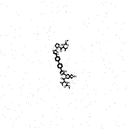 COC(=O)NC(C(=O)N1CC2(CNC2)CC1c1ncc(-c2ccc(-c3ccc(-c4cnc([C@@H]5CCCN5C(=O)C(NC(=O)OC)C(C)C)[nH]4)cc3)cc2)[nH]1)C(C)C